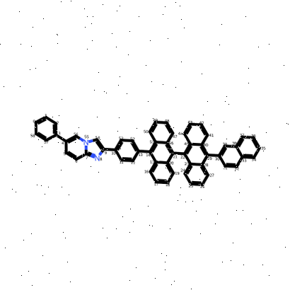 c1ccc(-c2ccc3nc(-c4ccc(-c5c6ccccc6c(-c6c7ccccc7c(-c7ccc8ccccc8c7)c7ccccc67)c6ccccc56)cc4)cn3c2)cc1